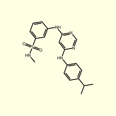 CNS(=O)(=O)c1cccc(Nc2cc(Nc3ccc(C(C)C)cc3)ncn2)c1